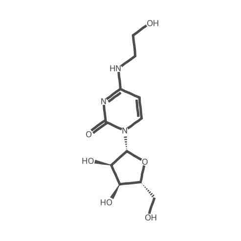 O=c1nc(NCCO)ccn1[C@@H]1O[C@H](CO)[C@@H](O)[C@H]1O